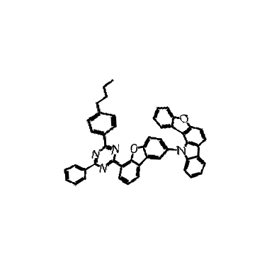 CCCCc1ccc(-c2nc(-c3ccccc3)nc(-c3cccc4c3oc3ccc(-n5c6ccccc6c6ccc7oc8ccccc8c7c65)cc34)n2)cc1